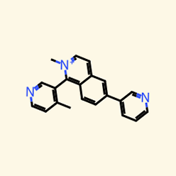 Cc1ccncc1-c1c2ccc(-c3cccnc3)cc2cc[n+]1C